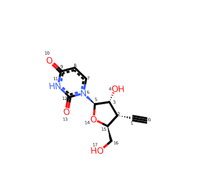 C#C[C@H]1[C@@H](O)[C@H](n2ccc(=O)[nH]c2=O)O[C@@H]1CO